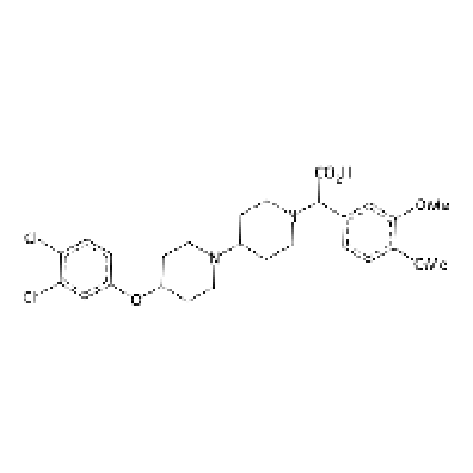 COc1ccc(C(C(=O)O)N2CCC(N3CCC(Oc4ccc(Cl)c(Cl)c4)CC3)CC2)cc1OC